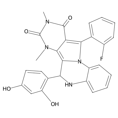 Cn1c(=O)c2c(-c3ccccc3F)n3c(c2n(C)c1=O)C(c1ccc(O)cc1O)Nc1ccccc1-3